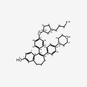 Oc1ccc2c(c1)CCCC(c1ccc(N3CCOCC3)cc1)=C2c1ccc(O[C@H]2CCN(CCCF)C2)cc1